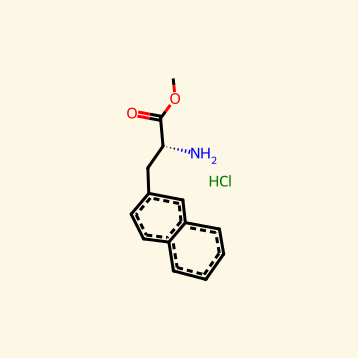 COC(=O)[C@H](N)Cc1ccc2ccccc2c1.Cl